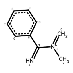 C=[N+](C)C(=N)c1ccccc1